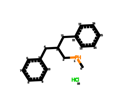 CPCC(Cc1ccccc1)Cc1ccccc1.Cl